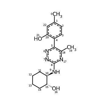 Cc1ccc(-c2nnc(N[C@@H]3CCCC[C@H]3O)nc2C)c(O)c1